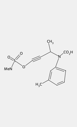 CNS(=O)(=O)OC#CC(C)N(C(=O)O)c1cccc(C)c1